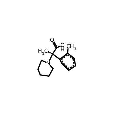 Cc1ccccc1[C@@](C)(C(=O)O)N1CCCCC1